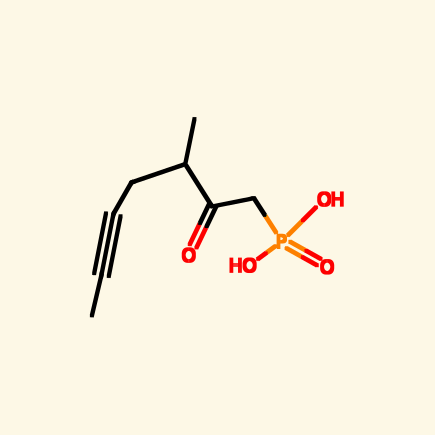 CC#CCC(C)C(=O)CP(=O)(O)O